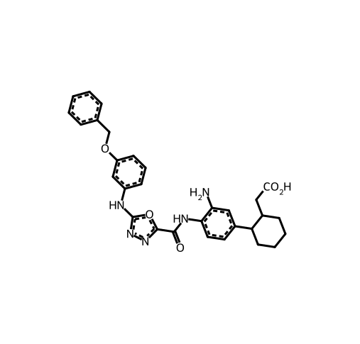 Nc1cc(C2CCCCC2CC(=O)O)ccc1NC(=O)c1nnc(Nc2cccc(OCc3ccccc3)c2)o1